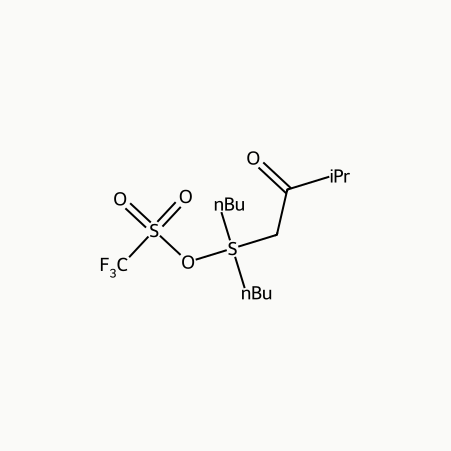 CCCCS(CCCC)(CC(=O)C(C)C)OS(=O)(=O)C(F)(F)F